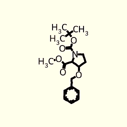 COC(=O)C1C(OCc2ccccc2)CCN1C(=O)OC(C)(C)C